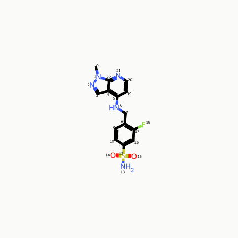 Cn1ncc2c(NCc3ccc(S(N)(=O)=O)cc3F)ccnc21